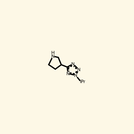 CC(C)n1nnc(C2CCNC2)n1